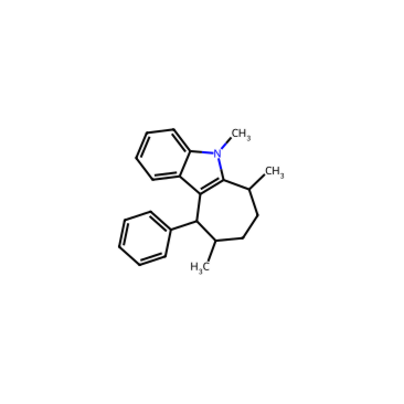 CC1CCC(C)C(c2ccccc2)c2c1n(C)c1ccccc21